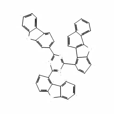 c1ccc2c(c1)ccc1c2oc2cccc(-c3nc(-c4ccc5c(c4)oc4ccccc45)nc(-c4cccc5oc6ccccc6c45)n3)c21